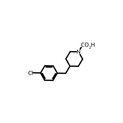 O=C(O)N1CCC(Cc2ccc(Cl)cc2)CC1